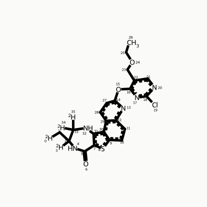 [2H]CC1([2H])NC(=O)c2sc3ccc4nc(Oc5nc(Cl)ncc5COCC)ccc4c3c2NC1([2H])[2H]